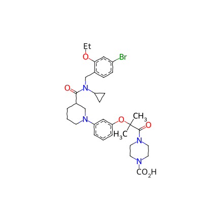 CCOc1cc(Br)ccc1CN(C(=O)C1CCCN(c2cccc(OC(C)(C)C(=O)N3CCN(C(=O)O)CC3)c2)C1)C1CC1